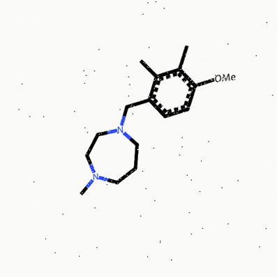 COc1ccc(CN2CCCN(C)CC2)c(C)c1C